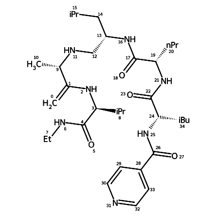 C=C(N[C@H](C(=O)NCC)C(C)C)[C@H](C)NC[C@H](CC(C)C)NC(=O)[C@H](CCC)NC(=O)[C@@H](NC(=O)c1ccncc1)[C@@H](C)CC